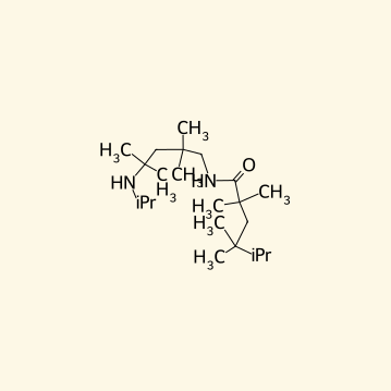 CC(C)NC(C)(C)CC(C)(C)CNC(=O)C(C)(C)CC(C)(C)C(C)C